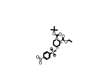 CCOC(=O)[C@H]1C[C@H](CS(=O)(=O)c2ccc([N+](=O)[O-])cc2)CCN1C(=O)OC(C)(C)C